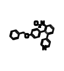 O=[N+]([O-])c1cccc(-c2ccncc2)c1-c1ccc(OCc2ccccc2)cc1